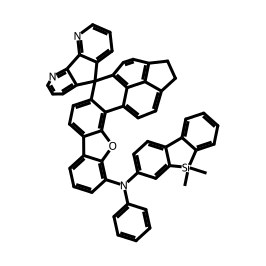 C[Si]1(C)c2ccccc2-c2ccc(N(c3ccccc3)c3cccc4c3oc3c5c(ccc34)C3(c4cccnc4-c4ncccc43)c3ccc4c6c(ccc-5c36)CC4)cc21